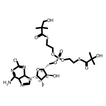 CC(C)(O)C(=O)SCCOP(=O)(OCCSC(=O)C(C)(C)CO)OC[C@H]1O[C@@H](N2C=NC3C(N)=NC(Cl)=NC32)[C@@H](F)[C@@H]1O